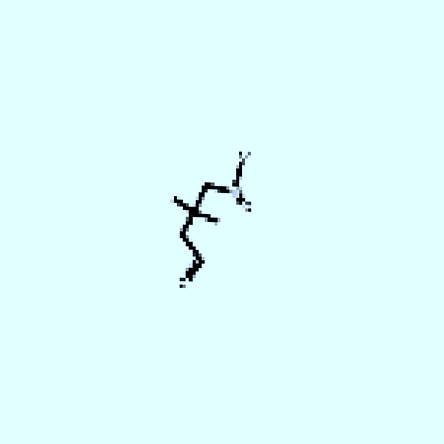 CC(C)(CC=O)C[N+](=O)[O-]